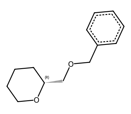 c1ccc(COC[C@H]2CCCCO2)cc1